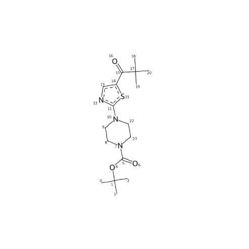 CC(C)(C)OC(=O)N1CCN(c2ncc(C(=O)C(C)(C)C)s2)CC1